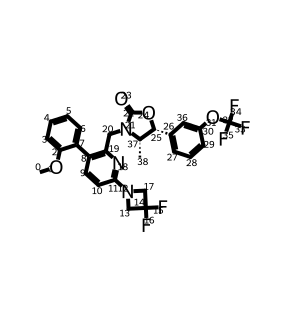 COc1ccccc1-c1ccc(N2CC(F)(F)C2)nc1CN1C(=O)O[C@H](c2cccc(OC(F)(F)F)c2)[C@@H]1C